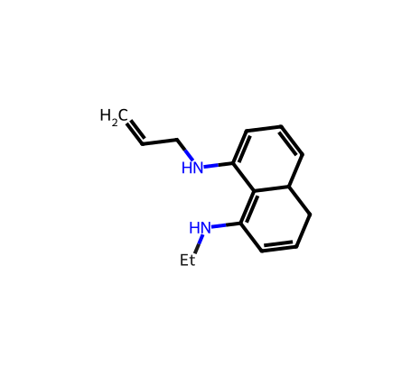 C=CCNC1=CC=CC2CC=CC(NCC)=C12